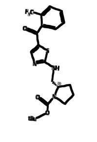 CC(C)(C)OC(=O)N1CCC[C@H]1CNc1ncc(C(=O)c2ccccc2C(F)(F)F)s1